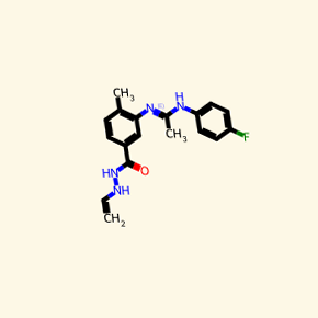 C=CNNC(=O)c1ccc(C)c(/N=C(\C)Nc2ccc(F)cc2)c1